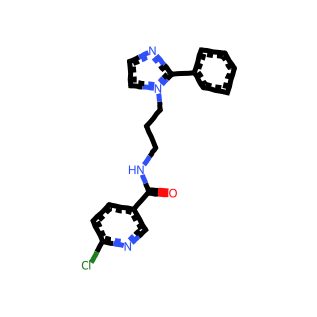 O=C(NCCCn1ccnc1-c1ccccc1)c1ccc(Cl)nc1